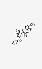 C[C@@H]1CN2C=C(C(=O)N3CCOCC3)C=C(C(=O)N[C@H](C)c3cccc(C(F)(F)F)c3F)C2=N1